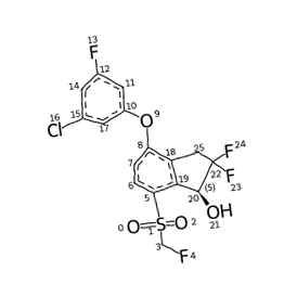 O=S(=O)(CF)c1ccc(Oc2cc(F)cc(Cl)c2)c2c1[C@H](O)C(F)(F)C2